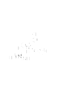 CN(C(=O)O)[C@H](C(=O)Nc1cccc(F)c1CC[C@H]1CNC2CCCS(O)(O)N1C2)[C@@H](c1ccc(Cl)cc1)[C@H]1CCOC(C)(C)C1